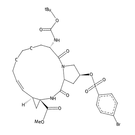 COC(=O)[C@@]12C[C@H]1/C=C\CCCCC[C@H](NC(=O)OC(C)(C)C)C(=O)N1C[C@@H](OS(=O)(=O)c3ccc(Br)cc3)CC1C(=O)N2